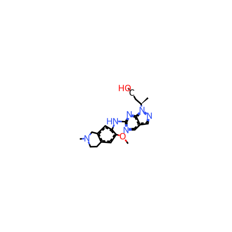 COc1cc2c(cc1Nc1ncc3cnn([C@H](C)CCO)c3n1)CN(C)CC2